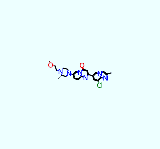 COCCN1CCN(c2ccc3nc(-c4cc(Cl)c5nc(C)cn5c4)cc(=O)n3c2)C[C@@H]1C